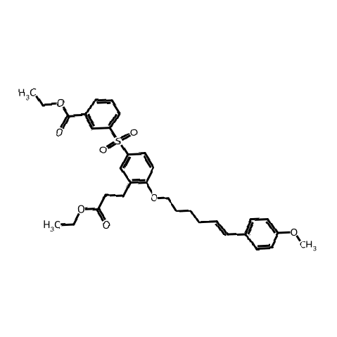 CCOC(=O)CCc1cc(S(=O)(=O)c2cccc(C(=O)OCC)c2)ccc1OCCCCC=Cc1ccc(OC)cc1